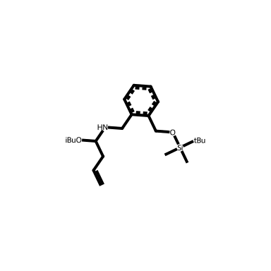 C=CCC(NCc1ccccc1CO[Si](C)(C)C(C)(C)C)OCC(C)C